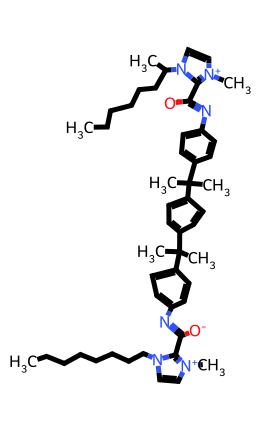 CCCCCCCCn1cc[n+](C)c1/C([O-])=N/c1ccc(C(C)(C)c2ccc(C(C)(C)c3ccc(/N=C(\[O-])c4n(C(C)CCCCCC)cc[n+]4C)cc3)cc2)cc1